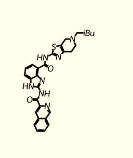 CCC(C)CN1CCc2nc(NC(=O)c3cccc4[nH]c(NC(=O)c5cc6ccccc6cn5)nc34)sc2C1